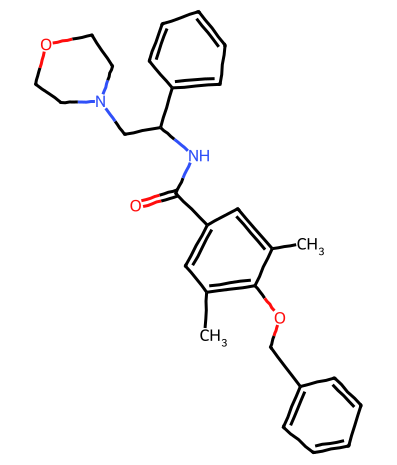 Cc1cc(C(=O)NC(CN2CCOCC2)c2ccccc2)cc(C)c1OCc1ccccc1